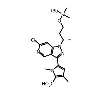 Cc1cc(-c2nn([C@@H](C)CCO[Si](C)(C)C(C)(C)C)c3cc(Cl)ncc23)n(C)c1C(=O)O